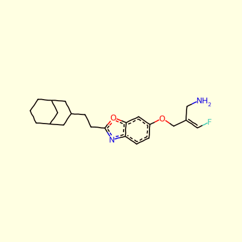 NC/C(=C\F)COc1ccc2nc(CCC3CC4CCCC(C4)C3)oc2c1